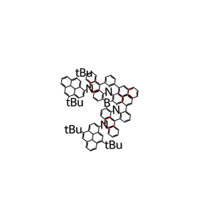 CC(C)(C)C1=CC2=CC=CC3=C(C(C)(C)C)C=C4C(N(c5ccccc5)c5ccc6c(c5)N(c5c(-c7ccccc7)cccc5-c5ccccc5)c5cc(-c7ccccc7)cc7c5B6c5ccc(N(C6=CC=C8C(C(C)(C)C)=CC9=CC=CC%10=C(C(C)(C)C)C=C6C8C9%10)c6ccccc6)cc5N7c5c(-c6ccccc6)cccc5-c5ccccc5)=CC=C1C4C23